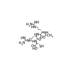 CC(=O)N[C@@H](CCCNC(=N)N)C(=O)N[C@@H](CCCNC(=N)N)C(=O)N[C@H](CS)C(=O)O